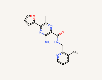 Cc1nc(C(=O)NCc2ncccc2C(F)(F)F)c(N)nc1-c1ccco1